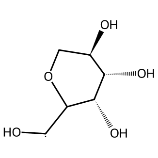 O[CH]C1OC[C@@H](O)[C@H](O)[C@@H]1O